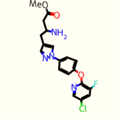 COC(=O)CC(N)Cc1cnn(-c2ccc(Oc3ncc(Cl)cc3F)cc2)c1